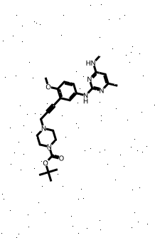 CNc1cc(C)nc(Nc2ccc(OC)c(C#CCN3CCN(C(=O)OC(C)(C)C)CC3)c2)n1